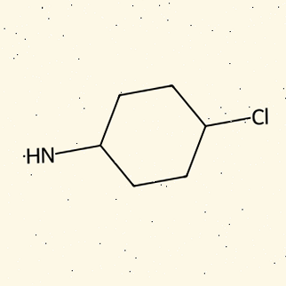 [NH]C1CCC(Cl)CC1